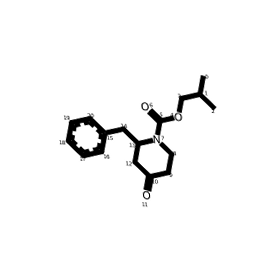 CC(C)COC(=O)N1CCC(=O)CC1Cc1ccccc1